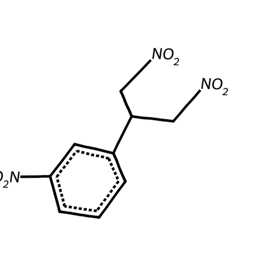 O=[N+]([O-])CC(C[N+](=O)[O-])c1cccc([N+](=O)[O-])c1